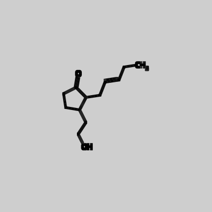 CCC=CCC1C(=O)CCC1CCO